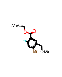 COCOC(=O)c1cc(COC)c(Br)cc1F